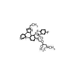 CCn1cc(-c2ccncc2)c(-c2c(F)ccc(N(COC(=O)CN(C)C)S(=O)(=O)c3cc(F)ccc3F)c2F)n1